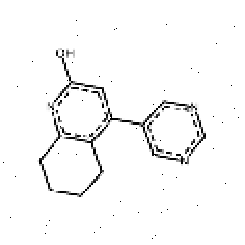 Oc1cc(-c2cncnc2)c2c(n1)CCCC2